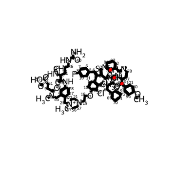 C[N-]c1sc(-c2ccc(F)cc2)c(-c2ccc(OCCN3CC[N+](C)(Cc4ccc(NC(=O)C(CCCNC(N)=O)NC)cc4CN(C)C(=O)CCS(=O)(=O)O)CC3)c(Cl)c2C)c1C(=N)OC(Cc1ccccc1OCc1ccnc(-c2ccccc2OC)n1)C(=O)OCc1ccc(OC)cc1